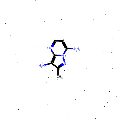 Cc1nn2c(N)ccnc2c1N